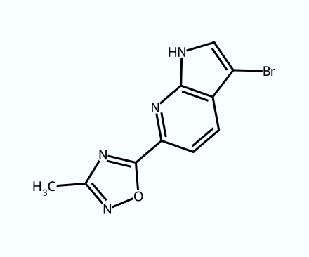 Cc1noc(-c2ccc3c(Br)c[nH]c3n2)n1